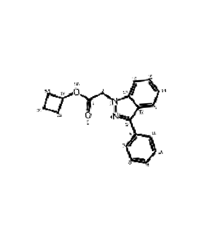 O=C(Cn1nc(-c2ccccc2)c2ccccc21)OC1CCC1